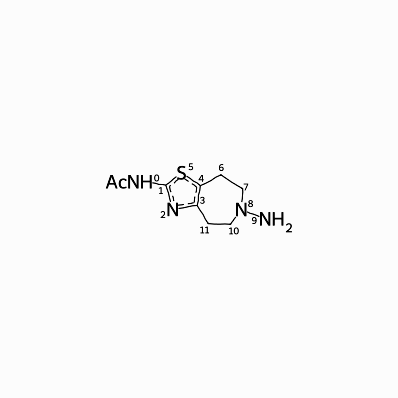 CC(=O)Nc1nc2c(s1)CCN(N)CC2